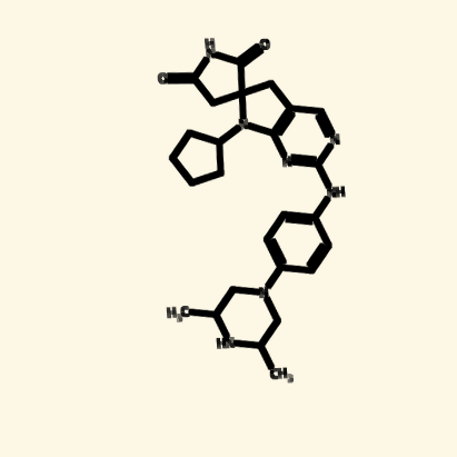 CC1CN(c2ccc(Nc3ncc4c(n3)N(C3CCCC3)C3(CC(=O)NC3=O)C4)cc2)CC(C)N1